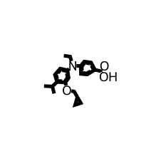 CCN(c1ccc(C(=O)O)cc1)c1ccc(C(C)C)c(OCC2CC2)c1